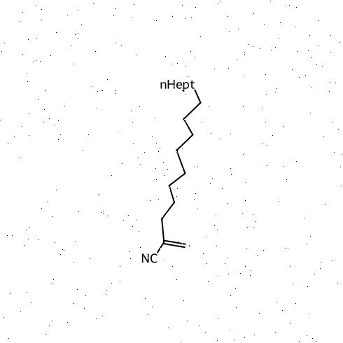 [CH]=C(C#N)CCCCCCCCCCCCCCC